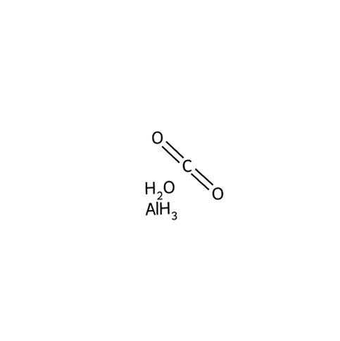 O.O=C=O.[AlH3]